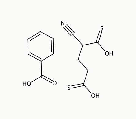 N#CC(CCC(O)=S)C(O)=S.O=C(O)c1ccccc1